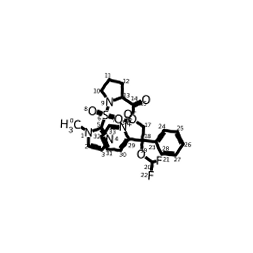 Cn1ccnc1S(=O)(=O)N1CCCC1C(=O)OCC(OC(F)F)(c1ccccc1)c1cccc[n+]1[O-]